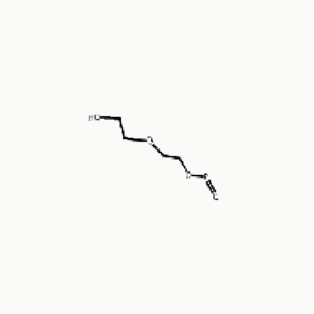 O=POCCOCCO